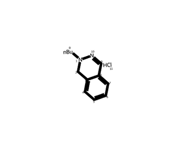 CCCCN1Cc2ccccc2C=N1.Cl